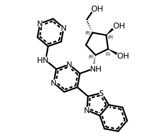 OC[C@H]1C[C@@H](Nc2nc(Nc3cncnc3)ncc2-c2nc3ccccc3s2)[C@H](O)[C@@H]1O